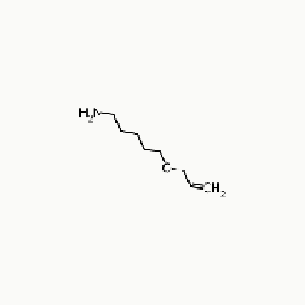 C=CCOCCCCCN